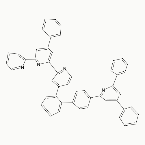 c1ccc(-c2cc(-c3ccccn3)nc(-c3cc(-c4ccccc4-c4ccc(-c5cc(-c6ccccc6)nc(-c6ccccc6)n5)cc4)ccn3)c2)cc1